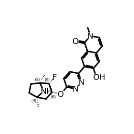 Cn1ccc2cc(O)c(-c3ccc(O[C@@H]4C[C@@]5(C)CC[C@](C)(N5)[C@@H]4F)nn3)cc2c1=O